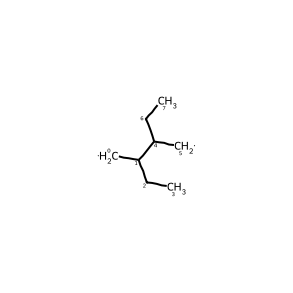 [CH2]C(CC)C([CH2])CC